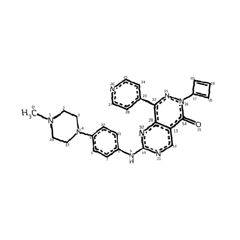 CN1CCN(c2ccc(Nc3ncc4c(=O)n(C5=CC=C5)nc(-c5ccncc5)c4n3)cc2)CC1